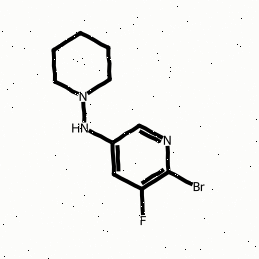 Fc1cc(NN2CCCCC2)cnc1Br